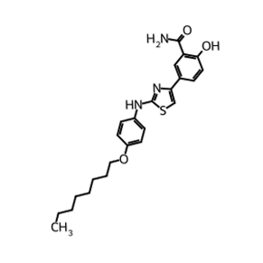 CCCCCCCCOc1ccc(Nc2nc(-c3ccc(O)c(C(N)=O)c3)cs2)cc1